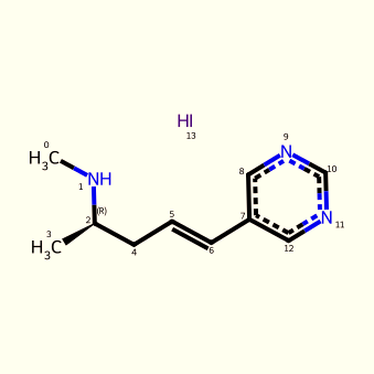 CN[C@H](C)CC=Cc1cncnc1.I